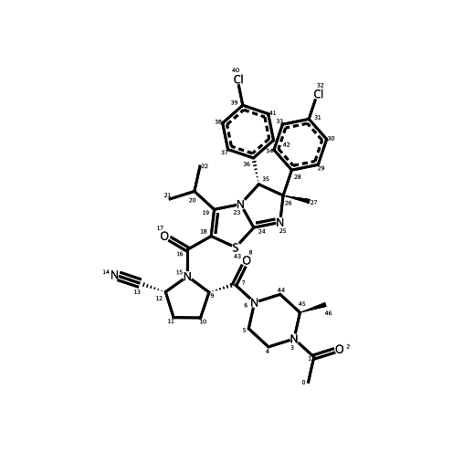 CC(=O)N1CCN(C(=O)[C@@H]2CC[C@H](C#N)N2C(=O)C2=C(C(C)C)N3C(=N[C@@](C)(c4ccc(Cl)cc4)[C@H]3c3ccc(Cl)cc3)S2)C[C@H]1C